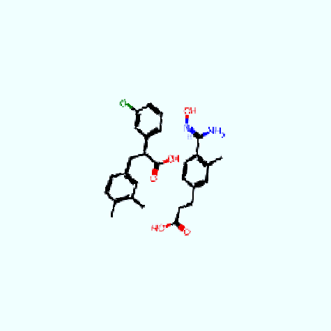 Cc1cc(CCC(=O)O)ccc1/C(N)=N/O.Cc1ccc(CC(C(=O)O)c2cccc(Cl)c2)cc1C